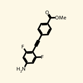 COC(=O)c1ccc(C#Cc2c(F)cc(N)cc2F)cc1